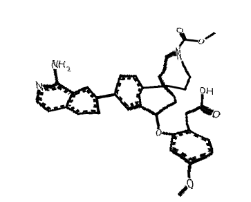 COC(=O)N1CCC2(CC1)CC(Oc1cc(OC)ccc1CC(=O)O)c1cc(-c3ccc4ccnc(N)c4c3)ccc12